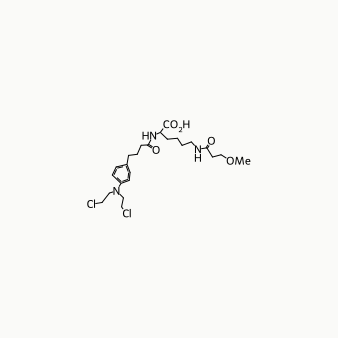 COCCC(=O)NCCCCC(NC(=O)CCCc1ccc(N(CCCl)CCCl)cc1)C(=O)O